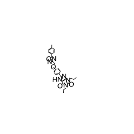 CCCn1c(=O)c2[nH]c(-c3ccc(OCc4noc(-c5ccc(C)cc5)n4)cc3)nc2n(CCC)c1=O